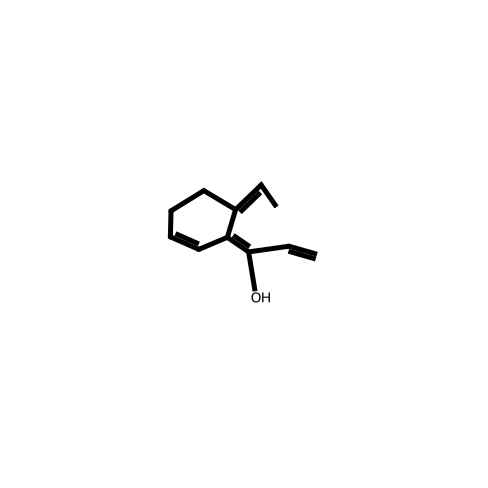 C=C/C(O)=C1/C=CCC/C1=C/C